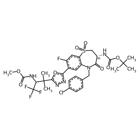 COC(=O)NC(C(F)(F)F)C(C)(C)c1nnc(-c2cc3c(cc2F)S(=O)(=O)C[C@H](NC(=O)OC(C)(C)C)C(=O)N3Cc2ccc(Cl)cc2)o1